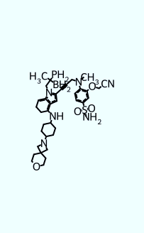 BC(C)(P)Cn1c(C#CCN(C)c2ccc(S(N)(=O)=O)cc2OCC#N)cc2c1=CCCC=2NC1CCC(N2CC3(CCOCC3)C2)CC1